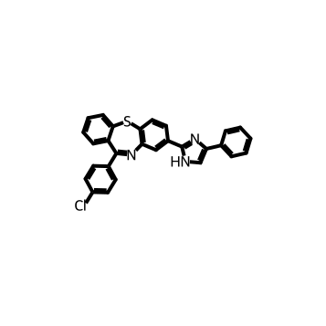 Clc1ccc(C2=Nc3cc(-c4nc(-c5ccccc5)c[nH]4)ccc3Sc3ccccc32)cc1